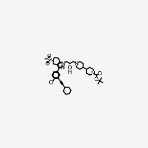 CC(C)(C)OC(=O)N1CCC(C2CCN(C[C@H](O)Cn3nc(-c4ccc(Cl)c(C#CC5CCCCC5)c4)c4c3CCN(S(C)(=O)=O)C4)CC2)CC1